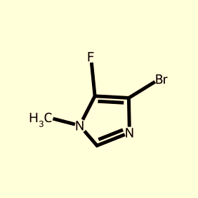 Cn1cnc(Br)c1F